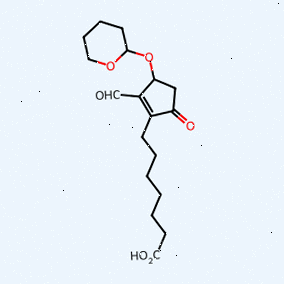 O=CC1=C(CCCCCCC(=O)O)C(=O)CC1OC1CCCCO1